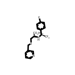 O=C(O)[C@H](CSCc1cccnc1)N[C@@H](c1ccc(F)cc1)C(F)(F)F